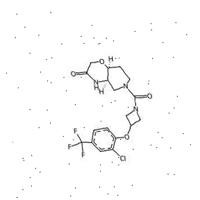 O=C1CO[C@H]2CCN(C(=O)N3CC(Oc4ccc(C(F)(F)F)cc4Cl)C3)C[C@H]2N1